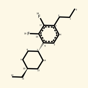 CCCc1ccc([C@H]2CC[C@H](CC)CC2)c(F)c1F